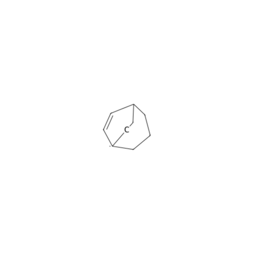 C1=CC2CCC[C]1CC2